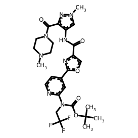 CN1CCN(C(=O)c2nn(C)cc2NC(=O)c2coc(-c3ccnc(N(CC(F)(F)F)C(=O)OC(C)(C)C)c3)n2)CC1